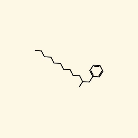 CCCCCCCCCCC(C)Cc1ccccc1